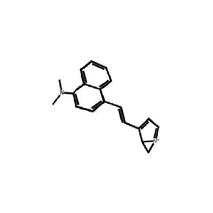 CN(C)c1ccc(/C=C/C2=CC=[N+]3CC23)c2ccccc12